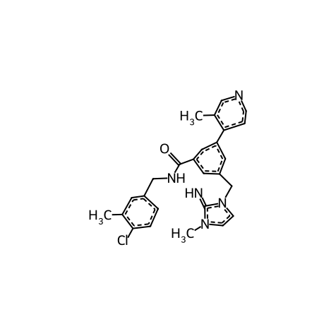 Cc1cc(CNC(=O)c2cc(Cn3ccn(C)c3=N)cc(-c3ccncc3C)c2)ccc1Cl